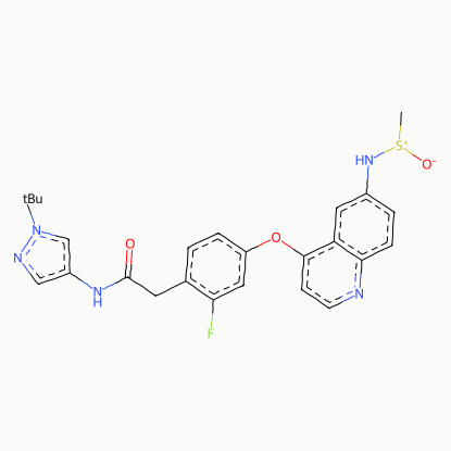 C[S+]([O-])Nc1ccc2nccc(Oc3ccc(CC(=O)Nc4cnn(C(C)(C)C)c4)c(F)c3)c2c1